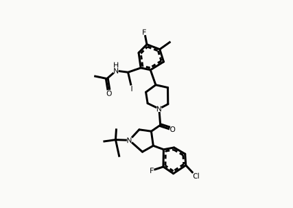 CC(=O)NC(I)c1cc(F)c(C)cc1C1CCN(C(=O)C2CN(C(C)(C)C)CC2c2ccc(Cl)cc2F)CC1